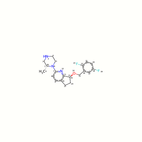 C[C@@H]1CNCCN1c1ccc2c(n1)[C@@H](OCc1cc(F)ccc1F)CC2